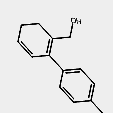 CC(C)(C)c1ccc(C2=C(CO)CCC=C2)cc1